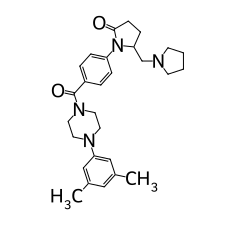 Cc1cc(C)cc(N2CCN(C(=O)c3ccc(N4C(=O)CCC4CN4CCCC4)cc3)CC2)c1